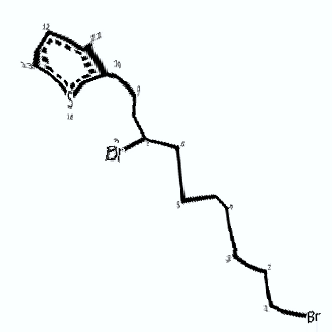 BrCCCCCCC(Br)Cc1cccs1